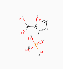 O=C(O)c1ccco1.O=P(O)(O)O